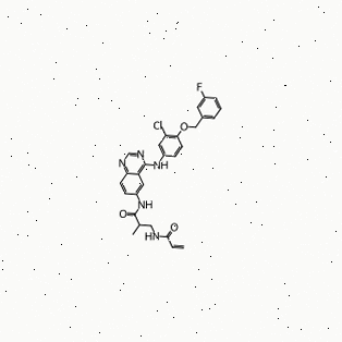 C=CC(=O)NCC(C)C(=O)Nc1ccc2ncnc(Nc3ccc(OCc4cccc(F)c4)c(Cl)c3)c2c1